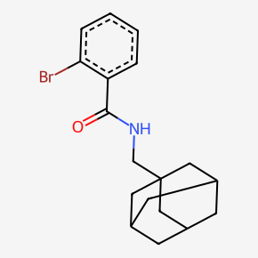 O=C(NCC12CC3CC(CC(C3)C1)C2)c1ccccc1Br